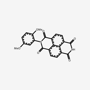 COc1ccc(OC)c(N2C(=O)c3ccc4c5c(ccc(c35)C2=O)C(=O)NC4=O)c1